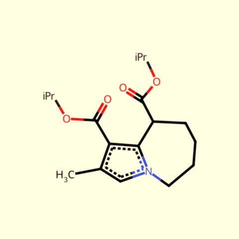 Cc1cn2c(c1C(=O)OC(C)C)C(C(=O)OC(C)C)CCCC2